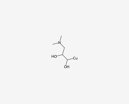 CN(C)CC(O)[CH](O)[Cu]